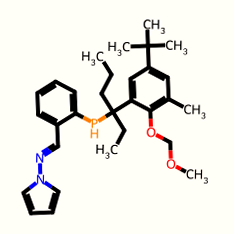 CCCC(CC)(Pc1ccccc1/C=N/n1cccc1)c1cc(C(C)(C)C)cc(C)c1OCOC